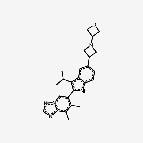 Cc1c(-c2[nH]c3ccc(C4CN(C5COC5)C4)cc3c2C(C)C)cn2ncnc2c1C